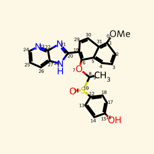 COc1cccc2c(OC(C)[S+]([O-])c3ccc(O)cc3)c(-c3nc4ncccc4[nH]3)ccc12